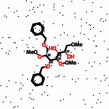 COC[C@H](O)[C@@H](O)[C@@H](OOC)[C@H](OCc1ccccc1)[C@@H](COCc1ccccc1)OOC